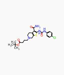 CC(C)(C)OC(=O)CCCN1CCc2c(sc(NC(=O)Nc3ccc(Cl)cc3)c2C(N)=O)C1